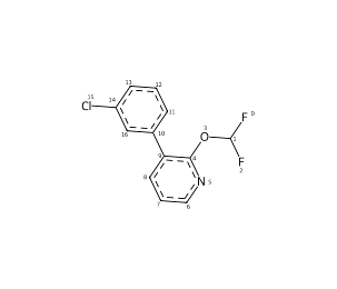 FC(F)Oc1ncccc1-c1cccc(Cl)c1